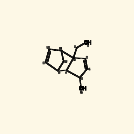 OCC12C=CC(O)C1C1C=CC2C1